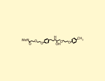 CNC(=O)CCOCCOc1ccc(CCNC(O)COCCCOc2ccc(C)cc2)cc1